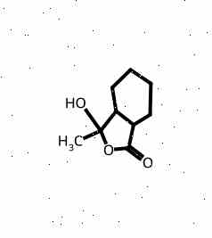 CC1(O)OC(=O)C2CCCCC21